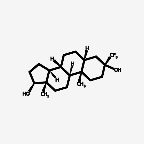 C[C@]12CC[C@](O)(C(F)(F)F)C[C@H]1CC[C@@H]1[C@@H]2CC[C@]2(C)[C@@H](O)CC[C@@H]12